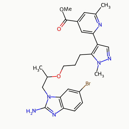 COC(=O)c1cc(C)nc(-c2cnn(C)c2CCCOC(C)Cn2c(N)nc3ccc(Br)cc32)c1